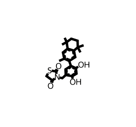 Cc1cc2c(cc1-c1cc(CN3C(=O)CSC3=O)c(O)cc1O)C(C)(C)CCC2(C)C